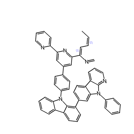 C=N/C(=C\C=C/C)c1cc(-c2ccc(-n3c4ccccc4c4cccc(-c5ccc6c7cccnc7n(-c7ccccc7)c6c5)c43)cc2)cc(-c2ccccn2)n1